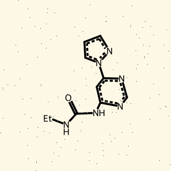 CCNC(=O)Nc1cc(-n2cccn2)ncn1